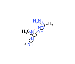 Cc1cn2cc(NC(=O)c3ccc(N4CCC(NC5CC5)CC4)c4cn(C)nc34)nc2c(CN)n1